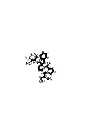 C[C@@H](O)[C@@H](NC(=O)C1(Cc2ccccc2)CCCN1C(=O)C1CCCN1C(=O)C(N)CO)C(N)=O